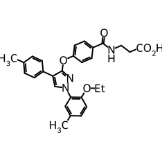 CCOc1ccc(C)cc1-n1cc(-c2ccc(C)cc2)c(Oc2ccc(C(=O)NCCC(=O)O)cc2)n1